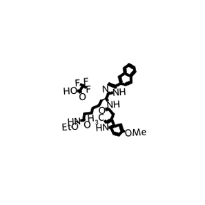 CCONC(=O)CCCCC[C@H](NC(=O)Cc1c(C)[nH]c2ccc(OC)cc12)c1ncc(-c2ccc3ccccc3c2)[nH]1.O=C(O)C(F)(F)F